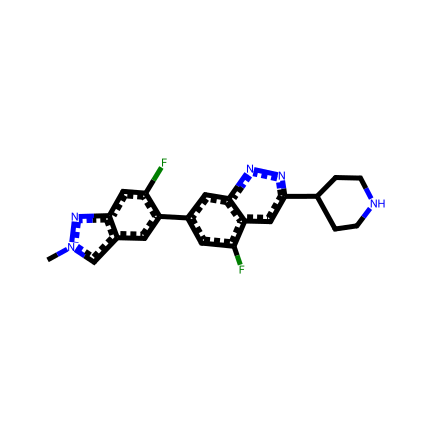 Cn1cc2cc(-c3cc(F)c4cc(C5CCNCC5)nnc4c3)c(F)cc2n1